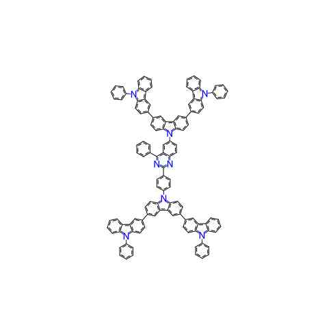 c1ccc(-c2nc(-c3ccc(-n4c5ccc(-c6ccc7c(c6)c6ccccc6n7-c6ccccc6)cc5c5cc(-c6ccc7c(c6)c6ccccc6n7-c6ccccc6)ccc54)cc3)nc3ccc(-n4c5ccc(-c6ccc7c(c6)c6ccccc6n7-c6ccccc6)cc5c5cc(-c6ccc7c(c6)c6ccccc6n7-c6ccccc6)ccc54)cc23)cc1